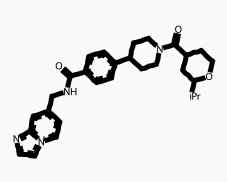 CC(C)C1CC(C(=O)N2CCC(c3ccc(C(=O)NCc4ccn5ccnc5c4)cc3)CC2)CCO1